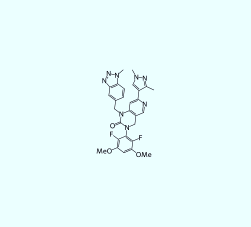 COc1cc(OC)c(F)c(N2Cc3cnc(-c4cn(C)nc4C)cc3N(Cc3ccc4c(c3)nnn4C)C2=O)c1F